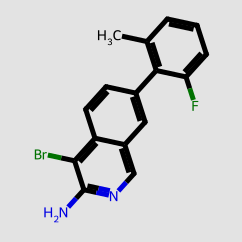 Cc1cccc(F)c1-c1ccc2c(Br)c(N)ncc2c1